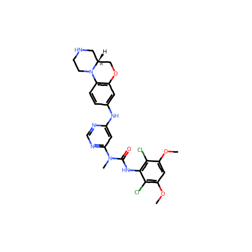 COc1cc(OC)c(Cl)c(NC(=O)N(C)c2cc(Nc3ccc4c(c3)OC[C@H]3CNCCN43)ncn2)c1Cl